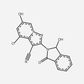 N#Cc1c(N2C(=O)c3ccccc3C2O)nn2cc(O)cc(Cl)c12